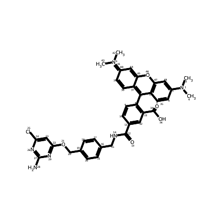 CN(C)c1ccc2c(-c3ccc(C(=O)NCc4ccc(COc5cc(Cl)nc(N)n5)cc4)cc3C(=O)O)c3ccc(=[N+](C)C)cc-3oc2c1